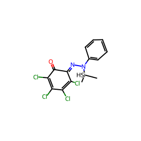 C[SiH](C)N(N=C1C(=O)C(Cl)=C(Cl)C(Cl)=C1Cl)c1ccccc1